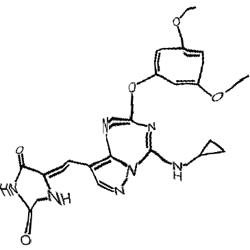 COc1cc(OC)cc(Oc2nc(NC3CC3)n3ncc(/C=C4\NC(=O)NC4=O)c3n2)c1